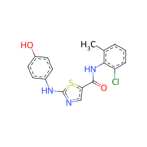 Cc1cccc(Cl)c1NC(=O)c1cnc(Nc2ccc(O)cc2)s1